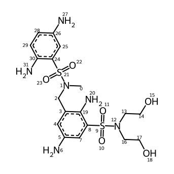 CN(Cc1cc(N)cc(S(=O)(=O)N(CCO)CCO)c1N)S(=O)(=O)c1cc(N)ccc1N